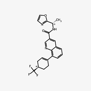 C[C@H](NC(=O)c1cnc2c(C3=CC[C@H](C(F)(F)F)CC3)cccc2c1)c1ncco1